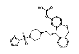 O=C(O)Oc1ccc2c(c1)C(=CCN1CCN(S(=O)(=O)c3cccs3)CC1)c1ccccc1CO2